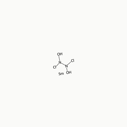 ON(Cl)N(O)Cl.[Sm]